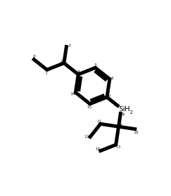 CCC(C)c1ccc([SiH2]C(C)(CC)CC)cc1